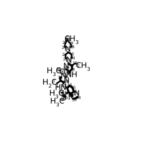 C=Cc1cnc(Nc2cc(CC)c(N3CCC(N4CCN(C)CC4)CC3)nc2OC)nc1Nc1ccc2nccnc2c1N(C)SC